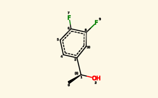 C[C@H](O)c1ccc(F)c(F)c1